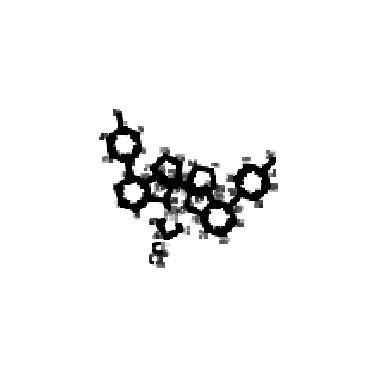 Cc1ccc(-c2cccc3c2C=C(C2CCCC2)[CH]3[Hf+2]2([CH]3C(C4CCCC4)=Cc4c(-c5ccc(C)cc5)cccc43)[CH2]C[CH2]2)cc1.[Cl-].[Cl-]